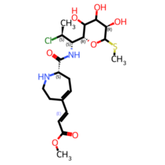 COC(=O)/C=C/C1=CC[C@@H](C(=O)N[C@H]([C@H](C)Cl)[C@H]2OC(SC)[C@H](O)C(O)C2O)NCC1